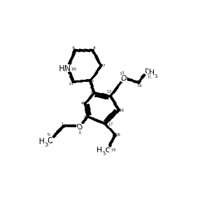 CCOc1cc(C2CCCNC2)c(OCC)cc1CC